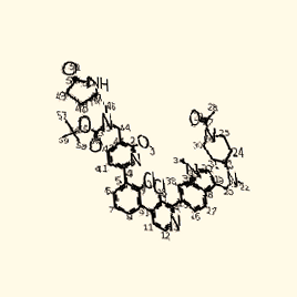 COc1nc(-c2cccc(-c3ccnc(-c4ccc5c(CN(C)C6CCN(C(C)=O)CC6)cn(C)c5c4)c3Cl)c2Cl)ccc1CN(C[C@@H]1CCC(=O)N1)C(=O)OC(C)(C)C